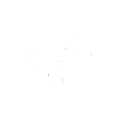 COc1cc2nccc(-c3nn4c(c3Nc3cccc(Cl)c3OC)C(=O)NCC4)c2s1